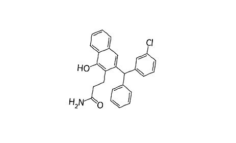 NC(=O)CCc1c(C(c2ccccc2)c2cccc(Cl)c2)cc2ccccc2c1O